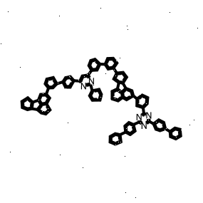 c1ccc(-c2ccc(-c3nc(-c4ccc(-c5ccccc5)cc4)nc(-c4cccc(-c5cc6c7c(cccc7c5)-c5cc(-c7cccc(-c8cccc(-c9cc(-c%10ccc(-c%11cccc(-c%12cc%13c%14c(cccc%14c%12)-c%12ccccc%12-%13)c%11)cc%10)nc(-c%10ccccc%10)n9)c8)c7)ccc5-6)c4)n3)cc2)cc1